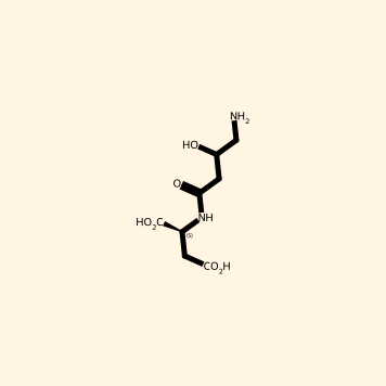 NCC(O)CC(=O)N[C@@H](CC(=O)O)C(=O)O